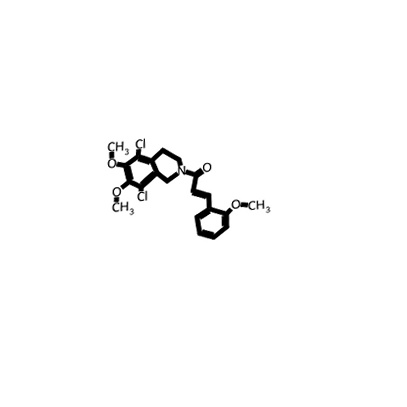 COc1ccccc1C=CC(=O)N1CCc2c(Cl)c(OC)c(OC)c(Cl)c2C1